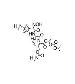 CC(C)OC(=O)OC(C)OC(=O)C1=C(COC(N)=O)CS[C@@H]2C(NC(=O)/C(=N\O)c3csc(N)n3)C(=O)N12